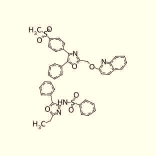 CCc1nc(NS(=O)(=O)c2ccccc2)c(-c2ccccc2)o1.CS(=O)(=O)c1ccc(-c2nc(COc3ccc4ccccc4n3)oc2-c2ccccc2)cc1